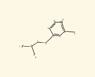 Cc1cc(CCC(F)F)ccn1